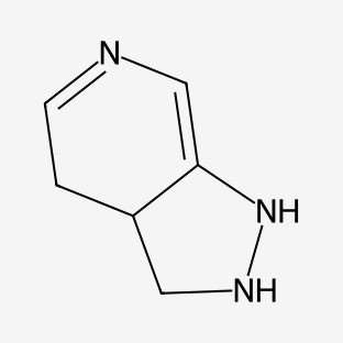 C1=NC=C2NNCC2C1